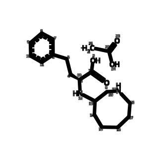 O=C(O)[C@H](CCc1ccccc1)NC1CCCCCNC1.[CH2]C(=O)O